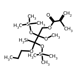 C=C(C)C(=O)OCC(OC)(O[Si](C)(C)C)C([SiH3])(OCCC)O[Si](C)(C)C